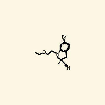 CCOCCN1C[C@@](C)(C#N)Cc2ccc(Br)cc21